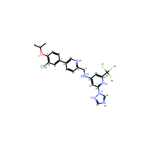 CC(C)Oc1ccc(-c2ccc(CNc3cc(-n4cncn4)nc(C(F)(F)F)c3)nc2)cc1Cl